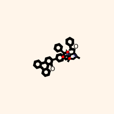 C/C1=C(/c2cccc(-c3ccccc3)c2)c2oc3ccccc3c2/N=C(/c2ccc(-c3ccc4c5ccccc5c5cccc6oc3c4c65)cc2)C(C)C1